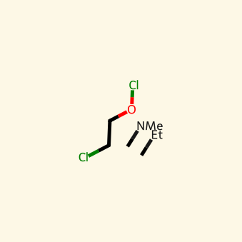 CCC.CNC.ClCCOCl